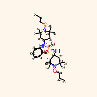 CCCON1C(C)(C)CC(NP(=O)(NC2CC(C)(C)N(OCCC)C(C)(C)C2)Oc2ccccc2)CC1(C)C